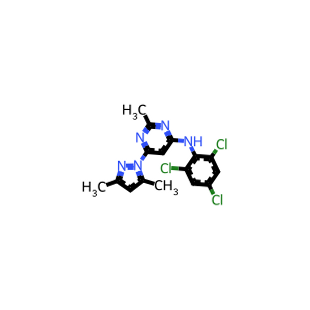 Cc1cc(C)n(-c2cc(Nc3c(Cl)cc(Cl)cc3Cl)nc(C)n2)n1